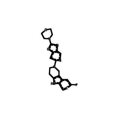 Fc1ccc2[nH]c3c(c2c1)CN(c1cc2oc(N4CCOCC4)nc2cn1)CC3